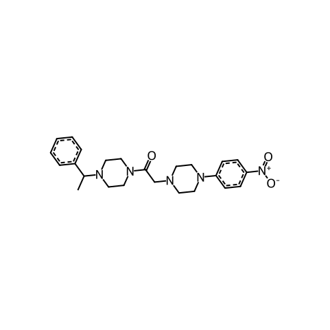 CC(c1ccccc1)N1CCN(C(=O)CN2CCN(c3ccc([N+](=O)[O-])cc3)CC2)CC1